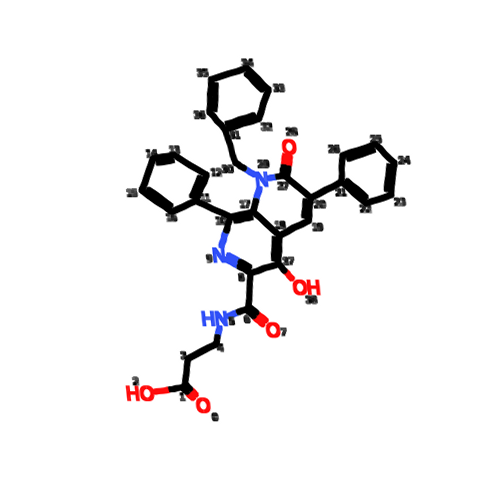 O=C(O)CCNC(=O)c1nc(-c2ccccc2)c2c(cc(-c3ccccc3)c(=O)n2Cc2ccccc2)c1O